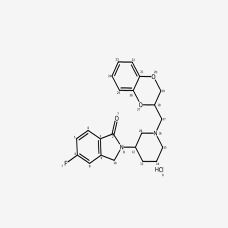 Cl.O=C1c2ccc(F)cc2CN1C1CCCN(CC2COc3ccccc3O2)C1